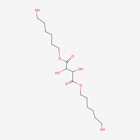 O=C(OCCCCCCO)C(O)C(O)C(=O)OCCCCCCO